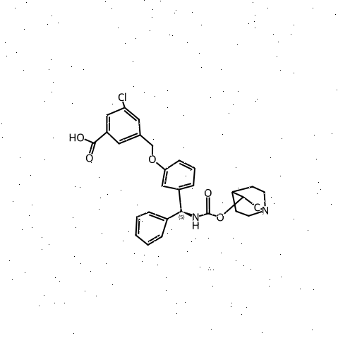 O=C(N[C@@H](c1ccccc1)c1cccc(OCc2cc(Cl)cc(C(=O)O)c2)c1)OC1CN2CCC1CC2